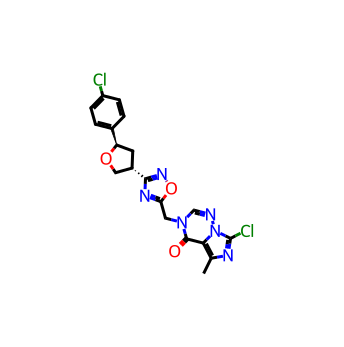 Cc1nc(Cl)n2ncn(Cc3nc([C@@H]4CO[C@@H](c5ccc(Cl)cc5)C4)no3)c(=O)c12